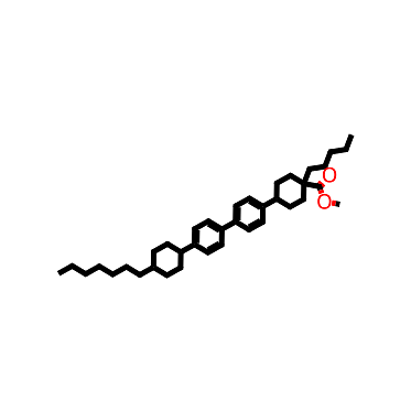 CCCCCCCC1CCC(c2ccc(-c3ccc(C4CCC(CCCCC)(C(=O)OC)CC4)cc3)cc2)CC1